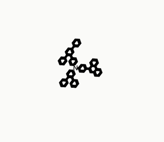 c1ccc(-c2ccc(-c3ccccc3)c(-c3ccc(N(c4ccc(-c5cc6ccccc6c6ccccc56)cc4)c4ccc(-c5ccccc5)c(-c5ccccc5)c4)cc3)c2)cc1